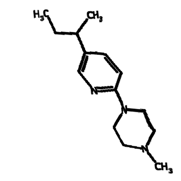 CCC(C)c1ccc(N2CCN(C)CC2)nc1